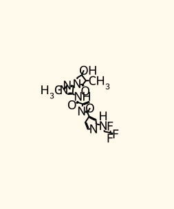 CC1C(=O)N(c2nn(C)cc2NC(=O)c2coc(-c3ccnc(NCC(F)(F)F)c3)n2)CC1O